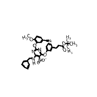 COc1ccc(C#N)cc1Oc1nc(NCc2ccccc2)c([N+](=O)[O-])c(Oc2cccc(CCC(=O)OC(C)(C)C)c2)n1